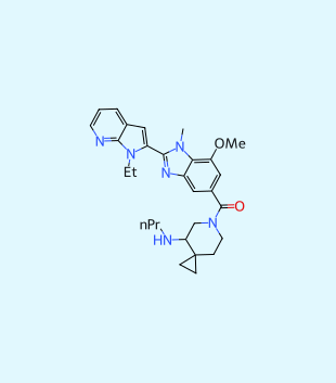 CCCNC1CN(C(=O)c2cc(OC)c3c(c2)nc(-c2cc4cccnc4n2CC)n3C)CCC12CC2